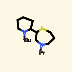 CC(C)N1CCCSC(C2CCCCN2C(C)(C)C)C1